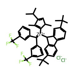 CC1=[C]([Zr+2](=[C](c2cccc(C(F)(F)F)c2)c2cccc(C(F)(F)F)c2)[CH]2c3cc(C(C)(C)C)ccc3-c3ccc(C(C)(C)C)cc32)C(C)C=C1C(C)C.[Cl-].[Cl-]